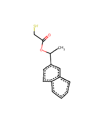 CC(OC(=O)CS)c1ccc2ccccc2c1